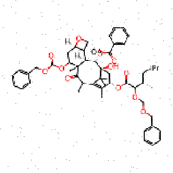 CC(=O)O[C@@]12CO[C@@H]1C[C@H](OC(=O)OCc1ccccc1)[C@@]1(C)C(=O)[C@H](C)C3=C(C)[C@@H](OC(=O)C(OCOCc4ccccc4)[C@@H](C)CC(C)C)C[C@@](O)([C@@H](OC(=O)c4ccccc4)[C@H]21)C3(C)C